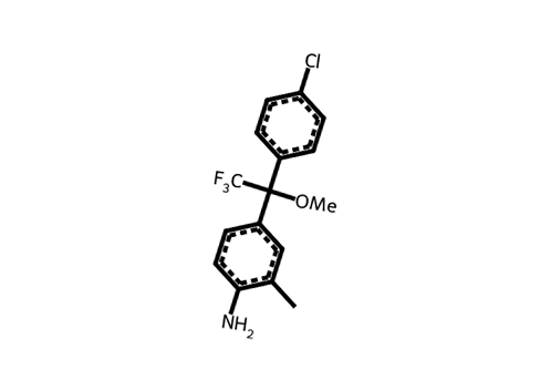 COC(c1ccc(Cl)cc1)(c1ccc(N)c(C)c1)C(F)(F)F